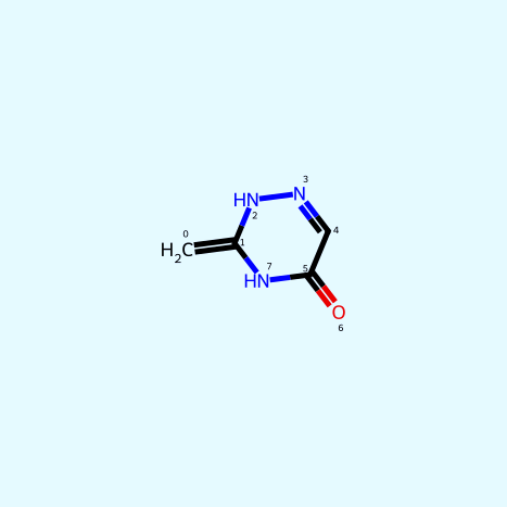 C=C1NN=CC(=O)N1